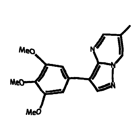 COc1cc(-c2cnn3cc(C)cnc23)cc(OC)c1OC